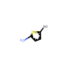 Nc1ccc(N=O)s1